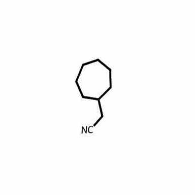 N#CCC1CCCCCC1